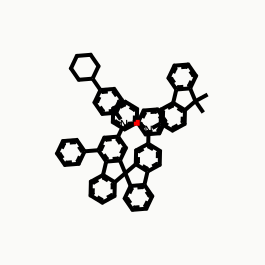 CC1(C)c2ccccc2-c2cc(N(c3ccccc3)c3ccc4c(c3)C3(c5ccccc5-4)c4ccccc4-c4c(-c5ccccc5)cc(N(c5ccccc5)c5ccc(C6CCCCC6)cc5)cc43)ccc21